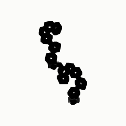 c1cc(-c2ccc3ncoc3c2)cc(-c2ccc3ccc4c(Cn5cnc6ccc(-c7cccc(-c8ccc9ccc%10ccc%11ccccc%11c%10c9c8)c7)cc65)cc5ccccc5c4c3c2)c1